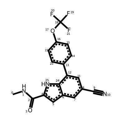 CNC(=O)c1cc2cc(C#N)cc(-c3ccc(OC(F)(F)F)cc3)c2[nH]1